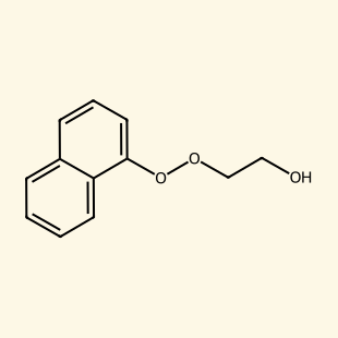 OCCOOc1cccc2ccccc12